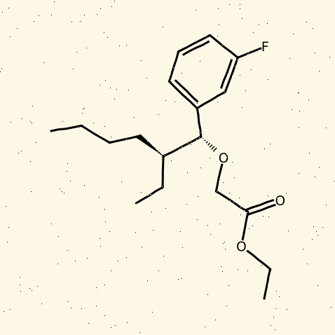 CCCC[C@H](CC)[C@@H](OCC(=O)OCC)c1cccc(F)c1